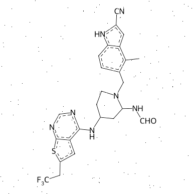 Cc1c(CN2CCC(Nc3ncnc4sc(CC(F)(F)F)cc34)CC2NC=O)ccc2[nH]c(C#N)cc12